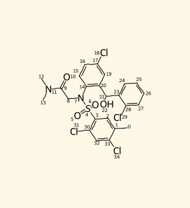 Cc1cc(S(=O)(=O)N(CC(=O)N(C)C)c2ccc(Cl)cc2C(O)c2ccccc2Cl)c(Cl)cc1Cl